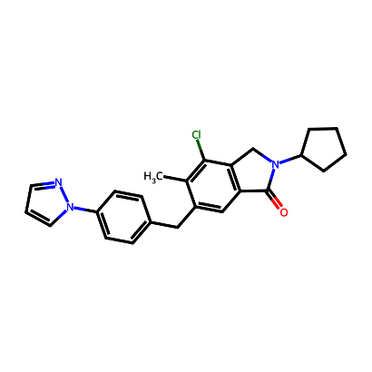 Cc1c(Cc2ccc(-n3cccn3)cc2)cc2c(c1Cl)CN(C1CCCC1)C2=O